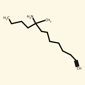 C#CCCCCCCC(C)(N)CCCC